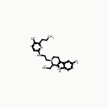 CCCc1nc(NCCN2CCc3c([nH]c4ccc(Cl)cc34)C2CO)ccc1Cl